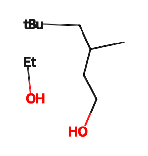 CC(CCO)CC(C)(C)C.CCO